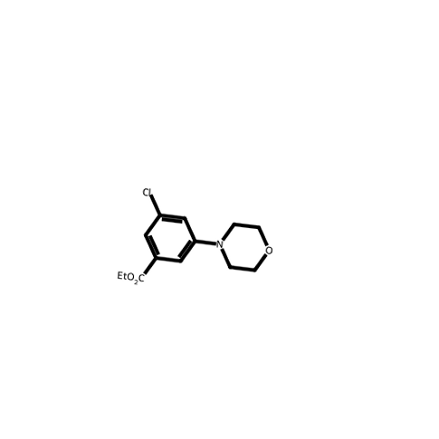 CCOC(=O)c1cc(Cl)cc(N2CCOCC2)c1